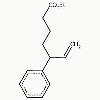 C=CC(CCCC(=O)OCC)c1ccccc1